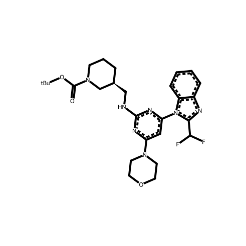 CC(C)(C)OC(=O)N1CCC[C@@H](CNc2nc(N3CCOCC3)cc(-n3c(C(F)F)nc4ccccc43)n2)C1